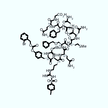 CSCC[C@H](NC(=O)[C@H](COCc1ccccc1)NC(=O)[C@H](CCC(N)=O)NC(=O)[C@H](CCCNC(=N)NS(=O)(=O)c1ccc(C)cc1)NC(=O)[C@H](Cc1ccc(OC(=O)OCc2ccccc2Br)cc1)NC(=O)OC(C)(C)C)C(=O)N[C@@H](CC(N)=O)C(=O)N[C@@H](CC(N)=O)C(=O)N[C@@H](Cc1ccccc1)C(=O)N[C@@H](CCC(N)=O)C(=O)NCC(=O)O